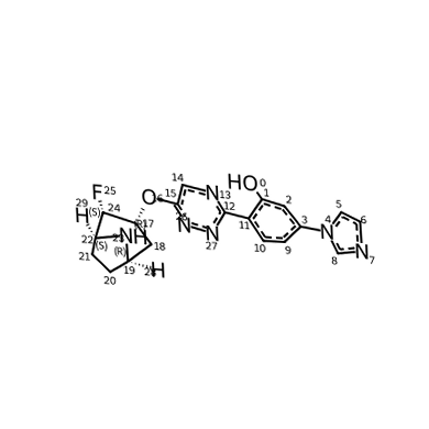 Oc1cc(-n2ccnc2)ccc1-c1ncc(O[C@@H]2C[C@H]3CC[C@H](N3)[C@@H]2F)nn1